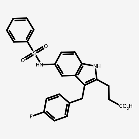 O=C(O)CCc1[nH]c2ccc(NS(=O)(=O)c3ccccc3)cc2c1Cc1ccc(F)cc1